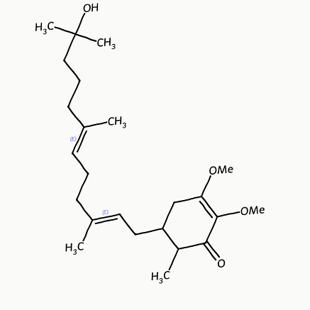 COC1=C(OC)C(=O)C(C)C(C/C=C(\C)CC/C=C(\C)CCCC(C)(C)O)C1